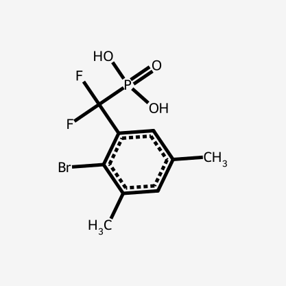 Cc1cc(C)c(Br)c(C(F)(F)P(=O)(O)O)c1